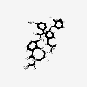 COc1cccc(CC(=O)Nc2cccc3c2O[C@H](CN(C)Cc2ccc(Oc4ccccc4F)cc2)[C@H](C)CN([C@@H](C)CO)C3=O)c1